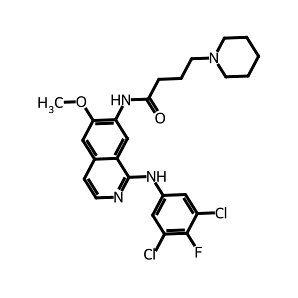 COc1cc2ccnc(Nc3cc(Cl)c(F)c(Cl)c3)c2cc1NC(=O)CCCN1CCCCC1